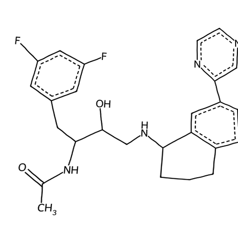 CC(=O)NC(Cc1cc(F)cc(F)c1)C(O)CNC1CCCc2ccc(-c3cnccn3)cc21